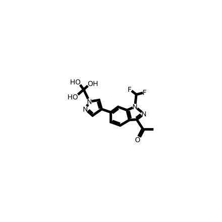 CC(=O)c1nn(C(F)F)c2cc(-c3cnn(C(O)(O)O)c3)ccc12